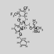 CCC(CO[Si](C)(C)C(C)(C)C)N(Cc1cc(C(F)(F)F)cc(C(F)(F)F)c1)C(=O)c1cccc(OCc2ccccc2)n1